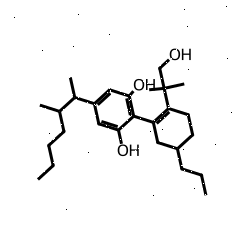 CCCCC(C)C(C)c1cc(O)c(C2=C(C(C)(C)CO)CCC(CCC)C2)c(O)c1